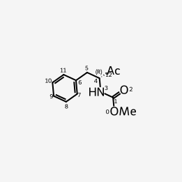 COC(=O)N[C@H](Cc1ccccc1)C(C)=O